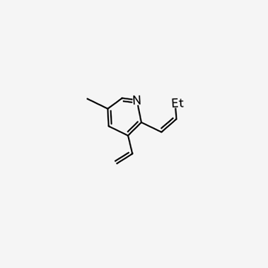 C=Cc1cc(C)cnc1/C=C\CC